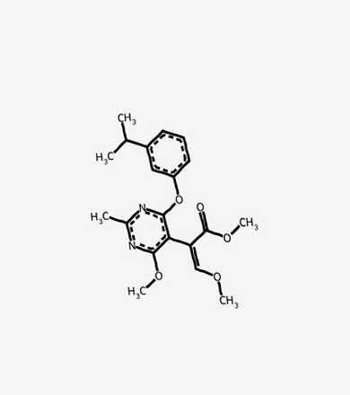 COC=C(C(=O)OC)c1c(OC)nc(C)nc1Oc1cccc(C(C)C)c1